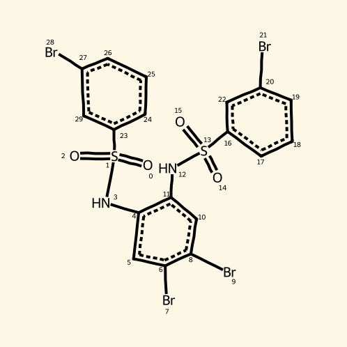 O=S(=O)(Nc1cc(Br)c(Br)cc1NS(=O)(=O)c1cccc(Br)c1)c1cccc(Br)c1